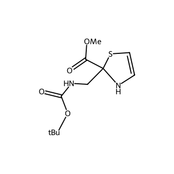 COC(=O)C1(CNC(=O)OC(C)(C)C)NC=CS1